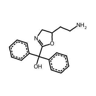 NCCC1CN=C(C(O)(c2ccccc2)c2ccccc2)O1